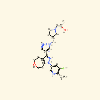 COc1ncc(-n2nc(/C(C=N)=C/NC[C@@H]3CCN(C[C@H](C)O)C3)c3c2CCOCC3)cc1F